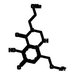 CCCOCc1cc(=O)c(O)c2n1NCN(CCOC)C2=O